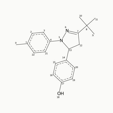 Cc1ccc(N2N=C(C(C)(C)C)CC2c2ccc(O)cc2)cc1